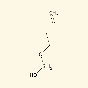 C=CCCO[SiH2]O